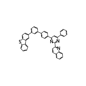 c1ccc(-c2cc(-c3ccc(-c4cccc(-c5ccc6sc7ccccc7c6c5)c4)cc3)nc(-c3ccc4ccccc4n3)n2)cc1